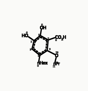 CCCCCCc1cc(O)c(O)c(C(=O)O)c1OCCC